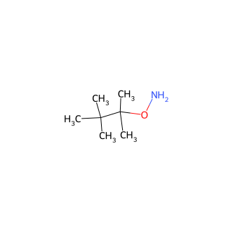 CC(C)(C)C(C)(C)ON